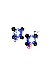 O=C([O-])c1cccc2c3nc4nc(nc5[nH]c(nc6nc(nc([nH]3)c12)-c1ccccc1-6)c1ccccc51)-c1ccccc1-4.O=C([O-])c1cccc2c3nc4nc(nc5[nH]c(nc6nc(nc([nH]3)c12)-c1ccccc1-6)c1ccccc51)-c1ccccc1-4.[Ti+2]